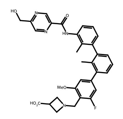 COc1cc(-c2cccc(-c3cccc(NC(=O)c4cnc(CO)cn4)c3C)c2C)cc(F)c1CN1CC(C(=O)O)C1